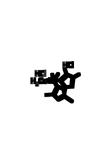 CC1=CC(C)=[C]([Zr]([CH3])([CH3])(=[GeH2])[C]2=C(C)C(C)=CC2C)C1.Cl.Cl